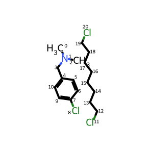 CN(C)Cc1ccc(Cl)cc1.ClCCCCCCCCCl